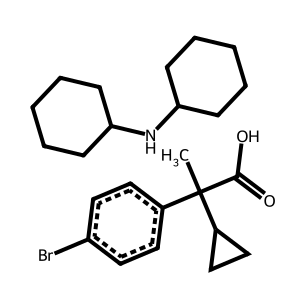 C1CCC(NC2CCCCC2)CC1.CC(C(=O)O)(c1ccc(Br)cc1)C1CC1